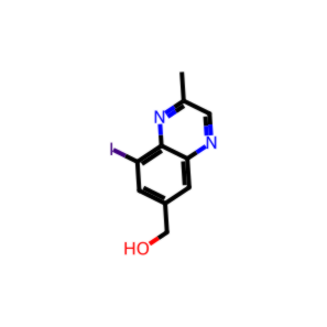 Cc1cnc2cc(CO)cc(I)c2n1